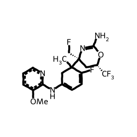 COc1cccnc1NC1=CC=C(F)C(C)([C@]2(CF)C[C@@H](C(F)(F)F)OC(N)=N2)C1